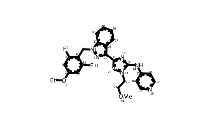 CCOc1cc(F)c(Cn2nc(-c3nc(Nc4ccncc4)n(CCOC)n3)c3ccccc32)c(F)c1